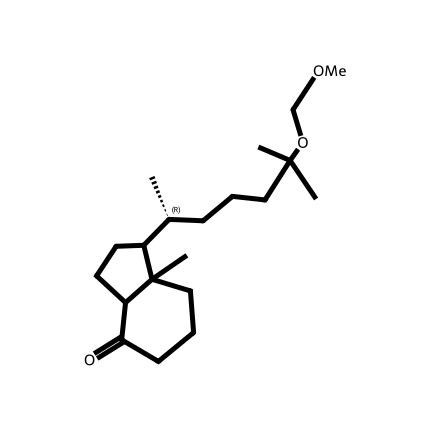 COCOC(C)(C)CCC[C@@H](C)C1CCC2C(=O)CCCC21C